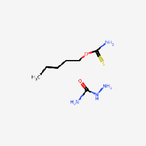 CCCCCOC(N)=S.NNC(N)=O